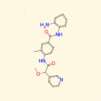 COC(C(=O)Nc1ccc(C(=O)Nc2ccccc2N)cc1C)c1cccnc1